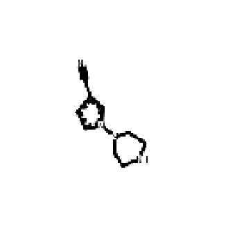 N#Cc1ccn(N2CCNCC2)c1